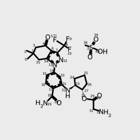 CC1(C)CC(=O)c2c(C(F)(F)F)nn(-c3ccc(C(N)=O)c(N[C@H]4CCC[C@@H]4OC(=O)CN)c3)c2C1.CS(=O)(=O)O